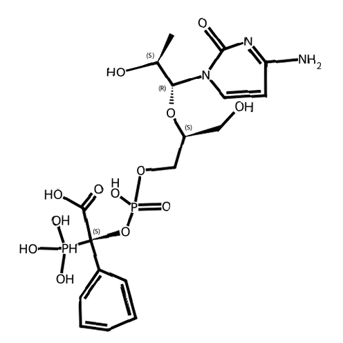 C[C@H](O)[C@@H](O[C@@H](CO)COP(=O)(O)O[C@@](C(=O)O)(c1ccccc1)[PH](O)(O)O)n1ccc(N)nc1=O